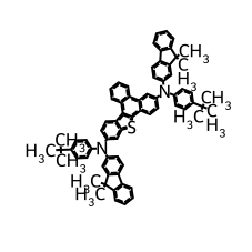 CC(C)(C)c1ccc(N(c2ccc3c(c2)C(C)(C)c2ccccc2-3)c2ccc3c(c2)sc2c4ccc(N(c5ccc(C(C)(C)C)cc5)c5ccc6c(c5)C(C)(C)c5ccccc5-6)cc4c4ccccc4c32)cc1